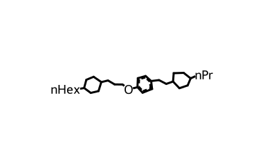 CCCCCCC1CCC(CCCOc2ccc(CCC3CCC(CCC)CC3)cc2)CC1